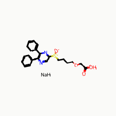 O=C(O)COCCCC[S+]([O-])c1cnc(-c2ccccc2)c(-c2ccccc2)n1.[NaH]